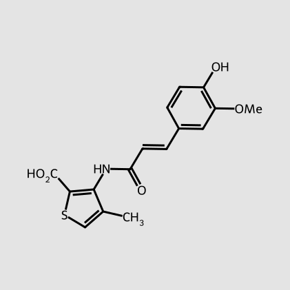 COc1cc(C=CC(=O)Nc2c(C)csc2C(=O)O)ccc1O